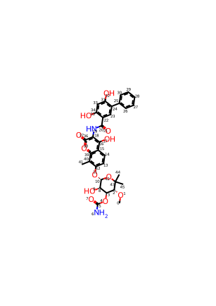 CO[C@@H]1[C@@H](OC(N)=O)[C@@H](O)[C@H](Oc2ccc3c(O)c(NC(=O)c4cc(-c5ccccc5)c(O)cc4O)c(=O)oc3c2C)OC1(C)C